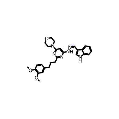 COc1ccc(CCCc2nc(N/N=C\c3c[nH]c4ccccc34)cc(N3CCOCC3)n2)cc1OC